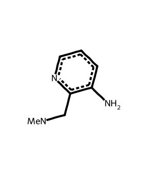 CNCc1ncccc1N